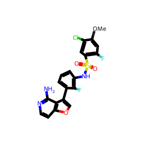 COc1cc(F)c(S(=O)(=O)Nc2cccc(-c3coc4ccnc(N)c34)c2F)cc1Cl